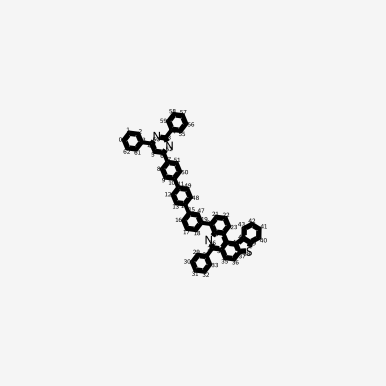 c1ccc(-c2cc(-c3ccc(-c4ccc(-c5cccc(-c6cccc7c6nc(-c6ccccc6)c6ccc8sc9ccccc9c8c67)c5)cc4)cc3)nc(-c3ccccc3)n2)cc1